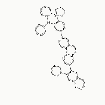 c1ccc(-c2cc3ccccc3cc2-c2ccc3c(ccc4cc(-c5ccc6c(c5)N(c5ccccc5)c5ccccc5[Si]65CCCC5)ccc43)c2)cc1